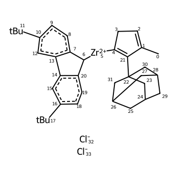 CC1=CC[C]([Zr+2][CH]2c3ccc(C(C)(C)C)cc3-c3cc(C(C)(C)C)ccc32)=C1C12CC3CC(CC(C3)C1)C2.[Cl-].[Cl-]